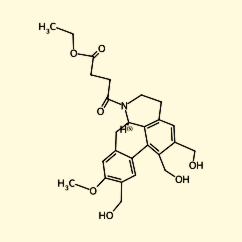 CCOC(=O)CCC(=O)N1CCc2cc(CO)c(CO)c3c2[C@@H]1Cc1cc(OC)c(CO)cc1-3